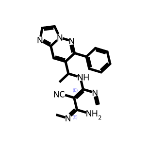 C=N/C(NC(C)c1cc2nccn2nc1-c1ccccc1)=C(C#N)\C(N)=N/C